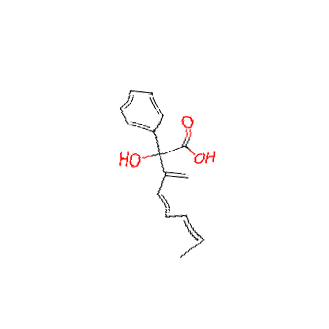 C=C(/C=C\C=C/C)C(O)(C(=O)O)c1ccccc1